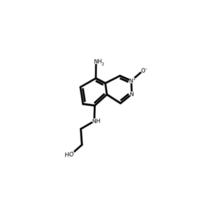 Nc1ccc(NCCO)c2cn[n+]([O-])cc12